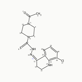 CC(=O)N1CCN(C(=S)N/N=C2/CCNc3c(Cl)ccnc32)CC1